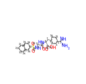 N=C(N)c1ccc(CC(NC(=O)CNS(=O)(=O)c2ccc3ccccc3c2)C(=O)O)cc1